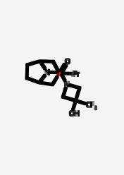 CC(C)N1CC2CCC(C1)N2C(=O)N1CC(O)(C(F)(F)F)C1